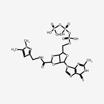 Cc1nc2c(ncn2C2OC(COP(=O)(O)OP(=O)(O)OP(=O)(O)O)C3OC(C(=O)NCc4cc(C)n(C)n4)OC32)c(=S)[nH]1